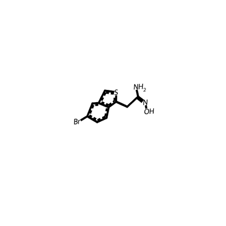 N/C(Cc1scc2cc(Br)ccc12)=N/O